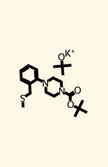 CC(C)(C)[O-].CSCc1ccccc1N1CCN(C(=O)OC(C)(C)C)CC1.[K+]